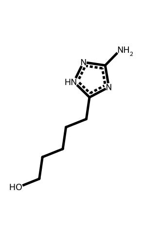 Nc1n[nH]c(CCCCCO)n1